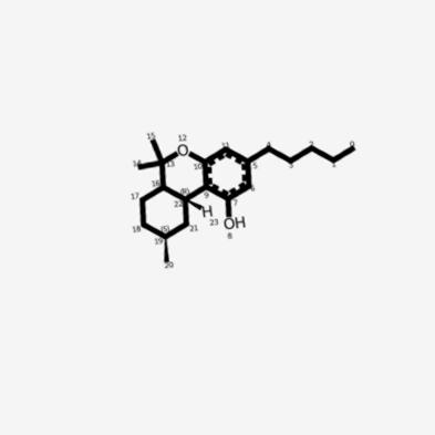 CCCCCc1cc(O)c2c(c1)OC(C)(C)C1CC[C@H](C)C[C@@H]21